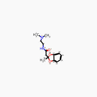 CN(C)CCNC(=O)CC1(C)Oc2ccccc2O1